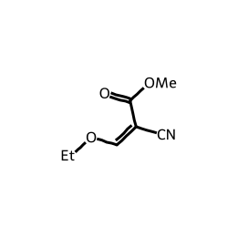 CCOC=C(C#N)C(=O)OC